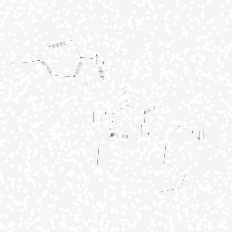 CCC(=O)NC(Cc1nc2ccc(Cl)cc2s1)C(=O)NC(CN)C1CCCC1